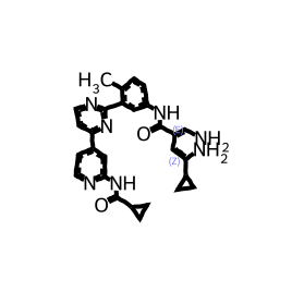 Cc1ccc(NC(=O)C(/C=C(\N)C2CC2)=C/N)cc1-c1nccc(-c2ccnc(NC(=O)C3CC3)c2)n1